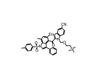 CCc1cc(C)c2c(c(-c3ccccc3)cn2S(=O)(=O)c2ccc(C)cc2)c1C(=O)c1nc2cc(C#N)ccc2n1COCC[Si](C)(C)C